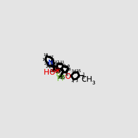 CC[C@H]1CC[C@@H](Oc2ccc3ccc(CN4C5CCCC4CC(C(=O)O)C5)cc3c2C(F)(F)F)CC1